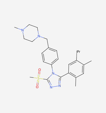 Cc1cc(C)c(C(C)C)cc1-c1nnc(S(C)(=O)=O)n1-c1ccc(CN2CCN(C)CC2)cc1